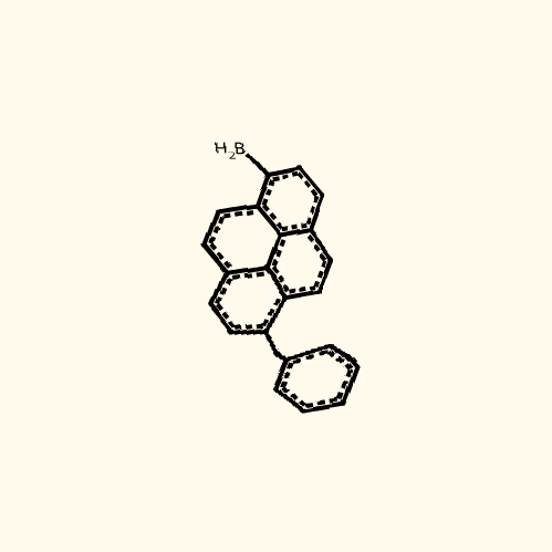 Bc1ccc2ccc3c(-c4ccccc4)ccc4ccc1c2c43